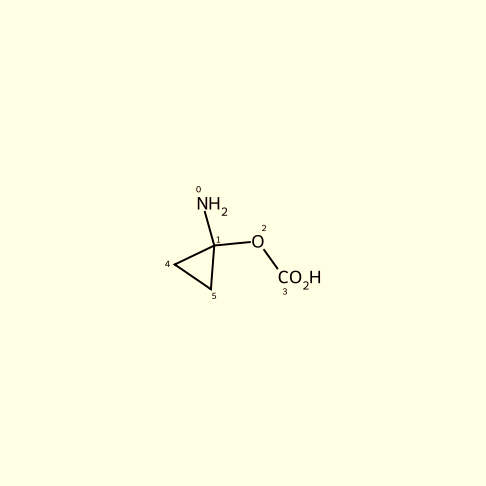 NC1(OC(=O)O)CC1